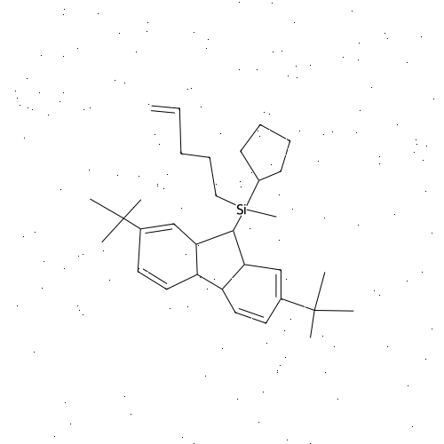 C=CCCC[Si](C)(C1CCCC1)C1C2C=C(C(C)(C)C)C=CC2C2C=CC(C(C)(C)C)=CC21